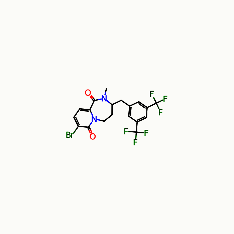 CN1C(=O)c2ccc(Br)c(=O)n2CCC1Cc1cc(C(F)(F)F)cc(C(F)(F)F)c1